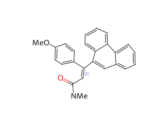 CNC(=O)/C=C(\c1ccc(OC)cc1)c1cc2ccccc2c2ccccc12